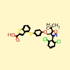 CC(C)c1onc(-c2c(Cl)cccc2Cl)c1COc1ccc(Sc2cccc3sc(C(=O)O)cc23)cc1